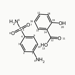 Nc1ccc(S(N)(=O)=O)cc1.O=C(O)c1ccccc1O